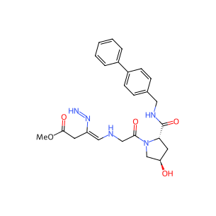 COC(=O)C/C(=C/NCC(=O)N1C[C@H](O)C[C@H]1C(=O)NCc1ccc(-c2ccccc2)cc1)N=N